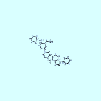 N=Cc1cc(-c2ccc3[nH]c4c(ccc5c4cnn5-c4ccccc4)c3c2)ccc1Nc1ccccc1